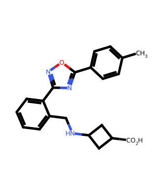 Cc1ccc(-c2nc(-c3ccccc3CNC3CC(C(=O)O)C3)no2)cc1